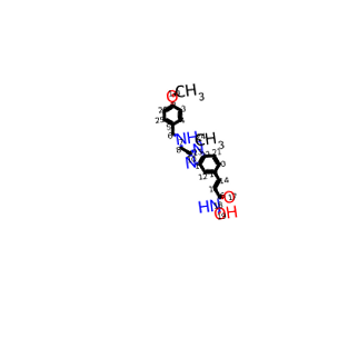 COc1ccc(CNCc2nc3cc(C=CC(=O)NO)ccc3n2C)cc1